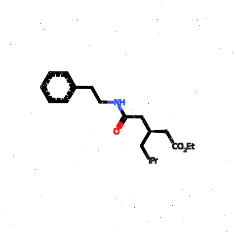 CCOC(=O)C[C@H](CC(=O)NCCc1ccccc1)CC(C)C